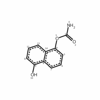 NC(=O)Oc1cccc2c(O)cccc12